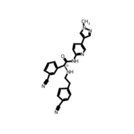 Cn1cc(-c2ccc(NC(=O)[C@@H](NCCc3ccc(C#N)cc3)c3cccc(C#N)c3)nc2)cn1